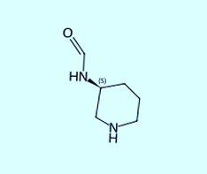 O=CN[C@H]1CCCNC1